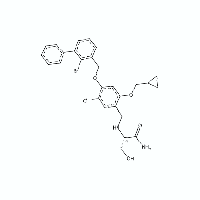 NC(=O)[C@H](CO)NCc1cc(Cl)c(OCc2cccc(-c3ccccc3)c2Br)cc1OCC1CC1